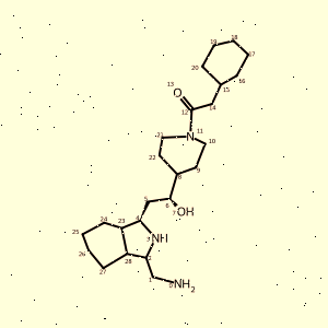 NCC1N[C@H](C[C@H](O)C2CCN(C(=O)CC3CCCCC3)CC2)C2CCCCC12